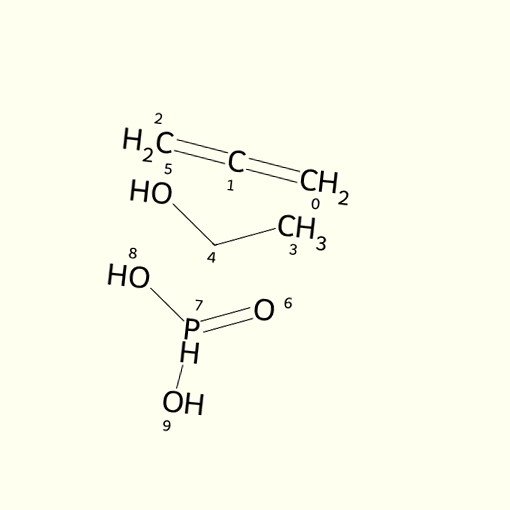 C=C=C.CCO.O=[PH](O)O